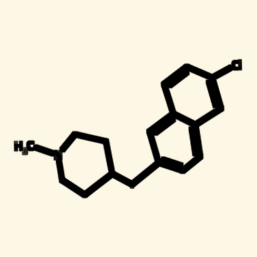 CN1CCC([CH]c2ccc3cc(Cl)ccc3c2)CC1